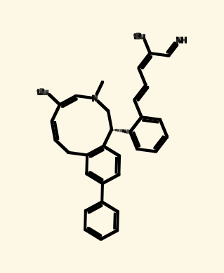 CN1/C=C(C(C)(C)C)\C=C/Cc2cc(-c3ccccc3)ccc2[C@@H](c2ccccc2/C=C/C=C(\C=N)C(C)(C)C)C1